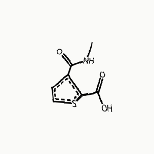 CNC(=O)c1ccsc1C(=O)O